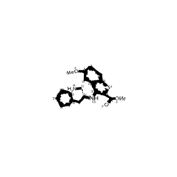 COC(=O)c1sc2ccc(OC)cc2c1N[C@@H](CN)Cc1ccccc1